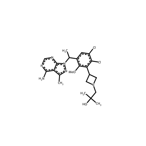 COc1c(C(C)n2nc(C)c3c(N)ncnc32)cc(Cl)c(Cl)c1C1CN(CC(C)(C)O)C1